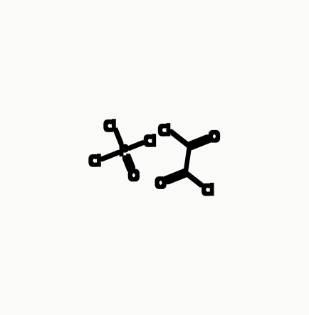 O=C(Cl)C(=O)Cl.O=P(Cl)(Cl)Cl